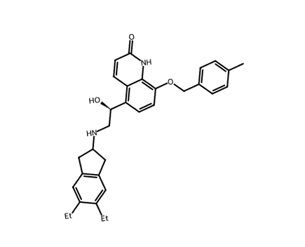 CCc1cc2c(cc1CC)CC(NC[C@@H](O)c1ccc(OCc3ccc(C)cc3)c3[nH]c(=O)ccc13)C2